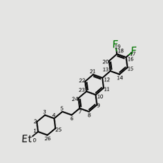 CCC1CCC(CCc2ccc3cc(-c4ccc(F)c(F)c4)ccc3c2)CC1